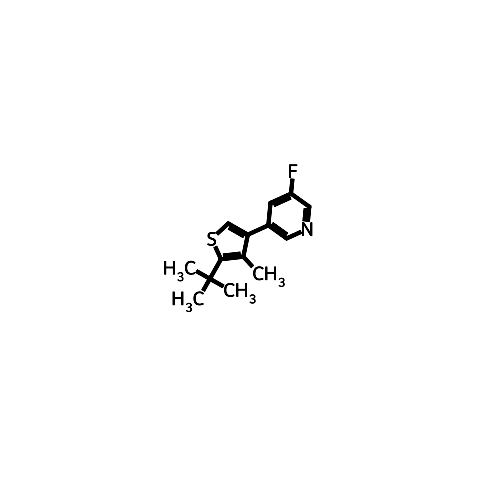 Cc1c(-c2cncc(F)c2)csc1C(C)(C)C